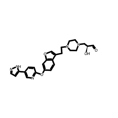 O=C[C@@H](O)CN1CCN(CCc2coc3cc(Oc4ccc(-c5ccn[nH]5)cn4)ccc23)CC1